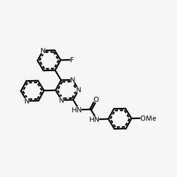 COc1ccc(NC(=O)Nc2nnc(-c3ccncc3F)c(-c3cccnc3)n2)cc1